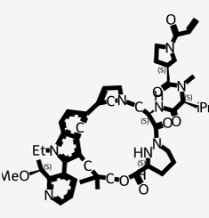 C=CC(=O)N1CC[C@H](C(=O)N(C)[C@H](C(=O)N[C@H]2CN3CC=C(C3)c3ccc4c(c3)c(c(-c3cccnc3[C@H](C)OC)n4CC)CC(C)(C)COC(=O)[C@@H]3CCCN(N3)C2=O)C(C)C)C1